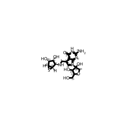 Nc1nc2c(c(CN[C@@H]3[C@@H](O)[C@@H](O)[C@@H]4S[C@H]34)cn2C2(O)COC(CO)C2O)c(=O)[nH]1